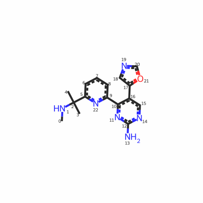 CNC(C)(C)c1cccc(-c2nc(N)ncc2-c2cnco2)n1